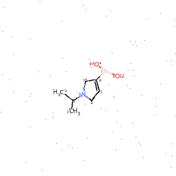 CC(C)N1CC=C(B(O)O)C1